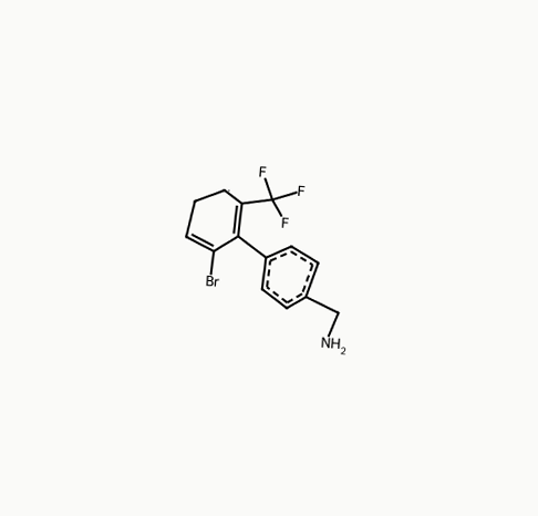 NCc1ccc(C2=C(C(F)(F)F)[CH]CC=C2Br)cc1